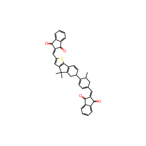 CC1CC(C=C2C(=O)c3ccccc3C2=O)=CC=C1C1C=CC2=C(C1)C(C)(C)c1cc(C=C3C(=O)c4ccccc4C3=O)sc12